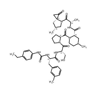 CCc1ccc(NC(=O)N[C@@H](Cc2cccc(C)c2)C(=O)N[C@@H](CO)C(=O)N2CCC[C@H]2C(=O)N2CCN(C)C[C@H]2C(=O)N[C@@H](C)C(=O)N2C[C@H](C)C[C@@]23CC3=O)cc1